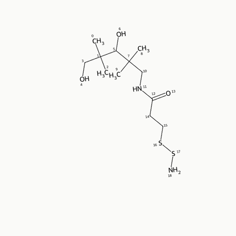 CC(C)(CO)C(O)C(C)(C)CNC(=O)CCSSN